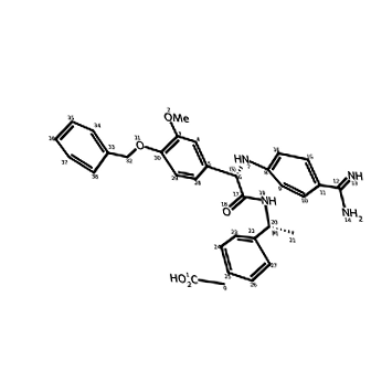 CC(=O)O.COc1cc([C@H](Nc2ccc(C(=N)N)cc2)C(=O)N[C@H](C)c2ccccc2)ccc1OCc1ccccc1